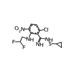 N=C(NSC1CC1)c1c(Cl)ccc([N+](=O)[O-])c1NCC(F)F